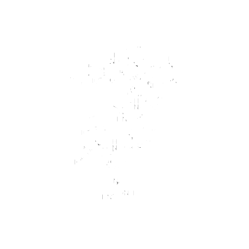 CC[C@H](C)C(NC(=O)[C@H](Cc1ccc(O)cc1)NC(=O)[C@@H](NC(=O)[C@H](CCCN=C(N)N)NC(=O)[C@@H](N)CC(=O)O)C(C)C)C(=O)N[C@@H](Cc1cnc[nH]1)C(=O)N1CCC[C@H]1C(=O)N[C@@H](Cc1ccccc1)C(=O)O